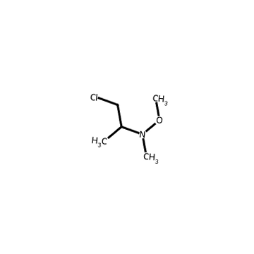 CON(C)C(C)CCl